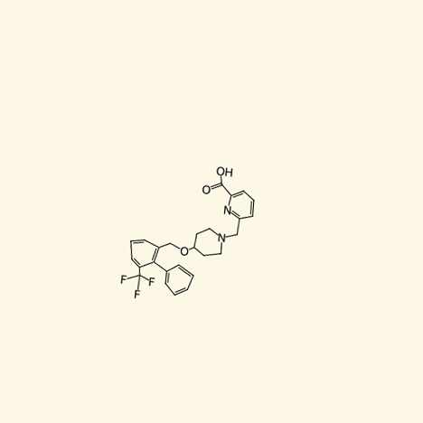 O=C(O)c1cccc(CN2CCC(OCc3cccc(C(F)(F)F)c3-c3ccccc3)CC2)n1